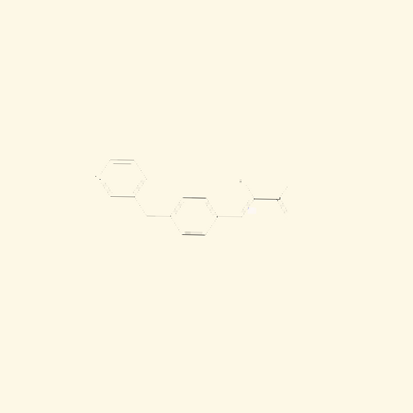 Cl.O=C(O)/C(Br)=C/c1ccc(Cc2cccnc2)cc1